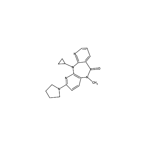 CN1C(=O)c2cccnc2N(C2CC2)c2nc(N3CCCC3)ccc21